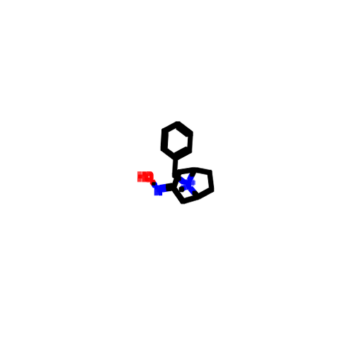 C[N+]1(Cc2ccccc2)C2CCC1CC(=NO)C2